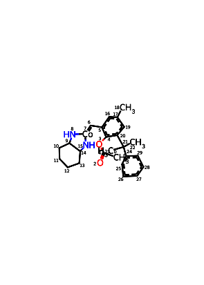 CC(=O)Oc1c([CH]=[Co]2[NH]C3CCCCC3[NH]2)cc(C)cc1C(C)(C)c1ccccc1